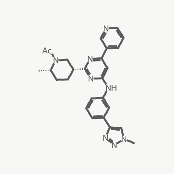 CC(=O)N1C[C@H](c2nc(Nc3cccc(-c4cn(C)nn4)c3)cc(-c3cccnc3)n2)CC[C@@H]1C